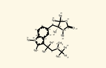 [2H]c1c(C([2H])([2H])CN(C)C([2H])([2H])[2H])c2cc(C[C@]3([2H])N([2H])C(=O)OC3([2H])[2H])ccc2n1[2H]